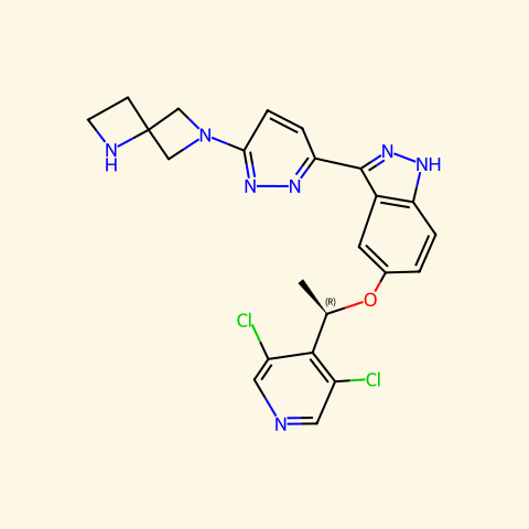 C[C@@H](Oc1ccc2[nH]nc(-c3ccc(N4CC5(CCN5)C4)nn3)c2c1)c1c(Cl)cncc1Cl